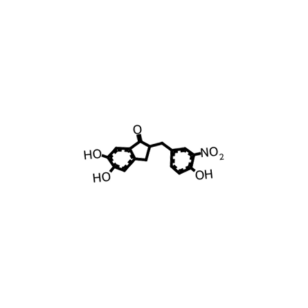 O=C1c2cc(O)c(O)cc2CC1Cc1ccc(O)c([N+](=O)[O-])c1